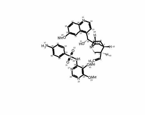 C=C[C@H]1C[N@]2CC[C@H]1C[C@H]2[C@H](O)c1ccnc2ccc(OC)cc12.COc1ncnc(NS(=O)(=O)c2ccc(N)cc2)c1OC